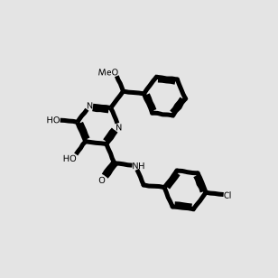 COC(c1ccccc1)c1nc(O)c(O)c(C(=O)NCc2ccc(Cl)cc2)n1